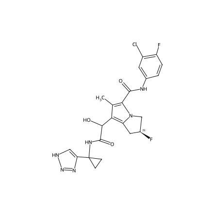 Cc1c(C(O)C(=O)NC2(c3c[nH]nn3)CC2)c2n(c1C(=O)Nc1ccc(F)c(Cl)c1)C[C@@H](F)C2